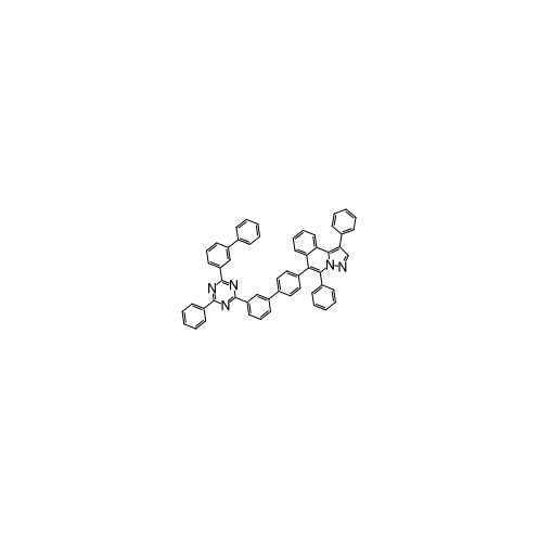 c1ccc(-c2cccc(-c3nc(-c4ccccc4)nc(-c4cccc(-c5ccc(-c6c(-c7ccccc7)n7ncc(-c8ccccc8)c7c7ccccc67)cc5)c4)n3)c2)cc1